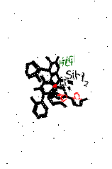 Cc1ccc(C2=Cc3c(cc(C)c(C)c3-c3ccccc3C)[CH]2[Zr]([CH3])([CH3])(=[SiH2])[CH]2C(c3ccc(C)o3)=Cc3c2cc(C)c(C)c3-c2ccccc2C)o1.Cl.Cl